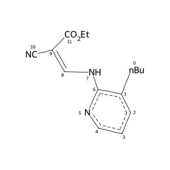 CCCCc1cccnc1NC=C(C#N)C(=O)OCC